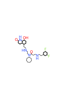 O=C(CCNCCc1cc(F)cc(F)c1)N(CCNCCc1ccc(O)c2[nH]c(=O)ccc12)C1CCCCCC1